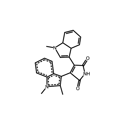 Cc1c(C2=C(C3=CN(C)C4C=CC=CC34)C(=O)NC2=O)c2ccccc2n1C